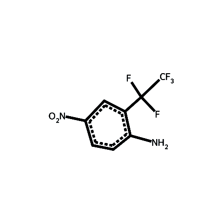 Nc1ccc([N+](=O)[O-])cc1C(F)(F)C(F)(F)F